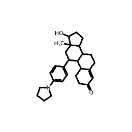 CC12CC(c3ccc(N4CCCC4)cc3)C3C4CCC(=O)C=C4CCC3C1CCC2O